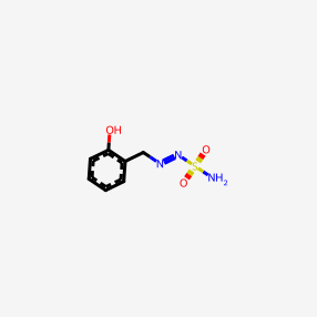 NS(=O)(=O)N=NCc1ccccc1O